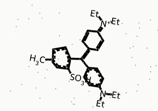 CCN(CC)c1ccc(C(=C2C=CC(=[N+](CC)CC)C=C2)c2ccc(C)cc2S(=O)(=O)O)cc1